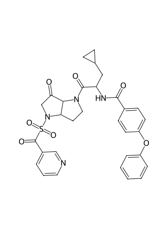 O=C(NC(CC1CC1)C(=O)N1CCC2C1C(=O)CN2S(=O)(=O)C(=O)c1cccnc1)c1ccc(Oc2ccccc2)cc1